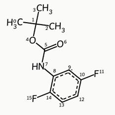 CC(C)(C)OC(=O)Nc1[c]c(F)ccc1F